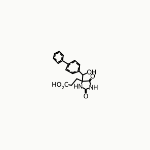 O=C(O)CCC1(C(O)c2ccc(-c3ccccc3)cc2)NC(=O)NC1=O